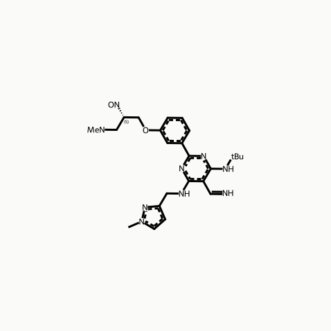 CNC[C@@H](COc1cccc(-c2nc(NCc3ccn(C)n3)c(C=N)c(NC(C)(C)C)n2)c1)N=O